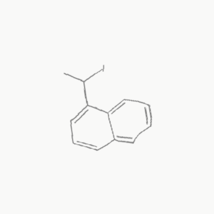 CC(I)c1cccc2ccccc12